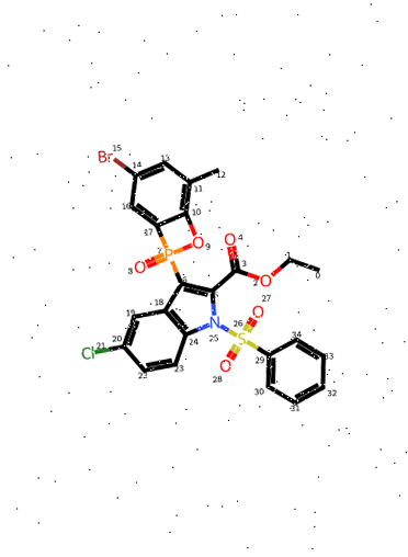 CCOC(=O)c1c(P2(=O)Oc3c(C)cc(Br)cc32)c2cc(Cl)ccc2n1S(=O)(=O)c1ccccc1